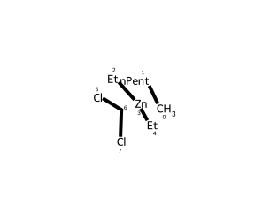 CCCCCC.C[CH2][Zn][CH2]C.ClCCl